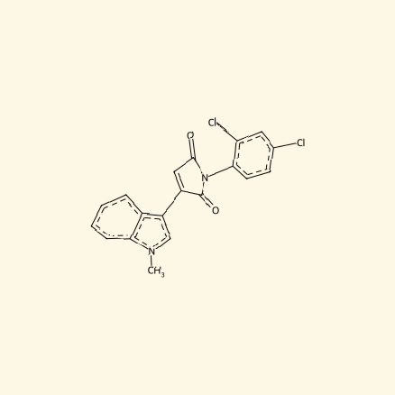 Cn1cc(C2=CC(=O)N(c3ccc(Cl)cc3Cl)C2=O)c2ccccc21